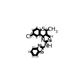 CC1Sc2ccc(Cl)cc2-c2nc(Nc3nc4ccccc4s3)ncc21